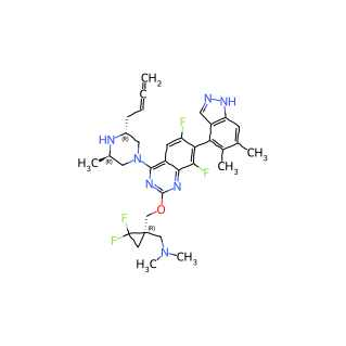 C=C=CC[C@@H]1CN(c2nc(OC[C@]3(CN(C)C)CC3(F)F)nc3c(F)c(-c4c(C)c(C)cc5[nH]ncc45)c(F)cc23)C[C@@H](C)N1